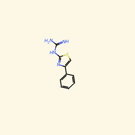 N=C(N)Nc1nc(-c2c[c][c]cc2)cs1